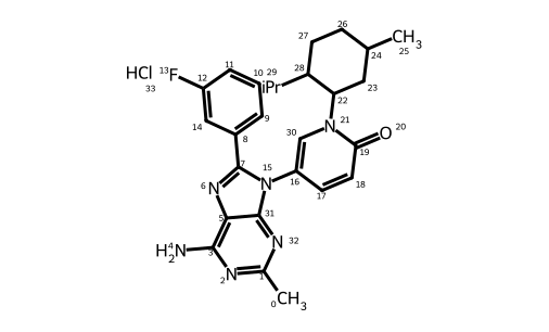 Cc1nc(N)c2nc(-c3cccc(F)c3)n(-c3ccc(=O)n(C4CC(C)CCC4C(C)C)c3)c2n1.Cl